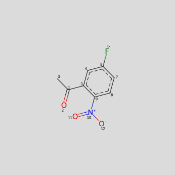 CC(=O)c1cc(F)ccc1[N+](=O)[O-]